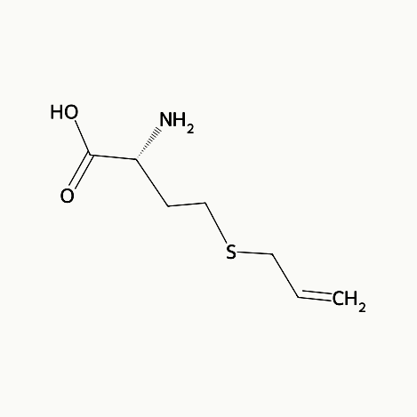 C=CCSCC[C@@H](N)C(=O)O